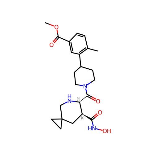 COC(=O)c1ccc(C)c(C2CCN(C(=O)[C@H]3NCC4(CC4)C[C@@H]3C(=O)NO)CC2)c1